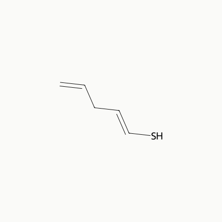 C=CCC=CS